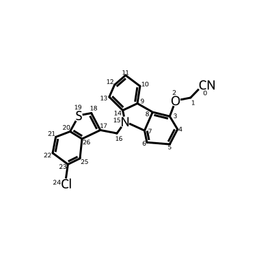 N#CCOc1cccc2c1c1ccccc1n2Cc1csc2ccc(Cl)cc12